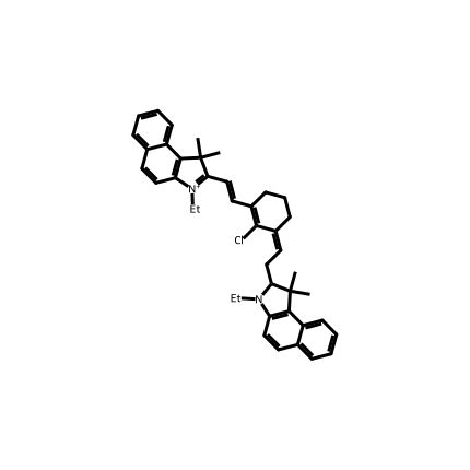 CCN1c2ccc3ccccc3c2C(C)(C)C1CC=C1CCCC(C=CC2=[N+](CC)c3ccc4ccccc4c3C2(C)C)=C1Cl